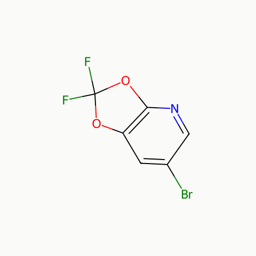 FC1(F)Oc2cc(Br)cnc2O1